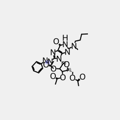 CCCCN(C)c1nc2c(nc(/N=N/c3ccccc3)n2[C@@H]2O[C@H](COC(C)=O)C(OC(C)=O)C2OC(C)=O)c(=O)[nH]1